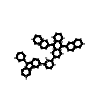 c1ccc(-n2c3ccncc3c3cc(-c4cccc(-c5ccc6c(-c7ccc8ccccc8c7)c7ccccc7c(-c7ccc8ccccc8c7)c6c5)n4)ccc32)cc1